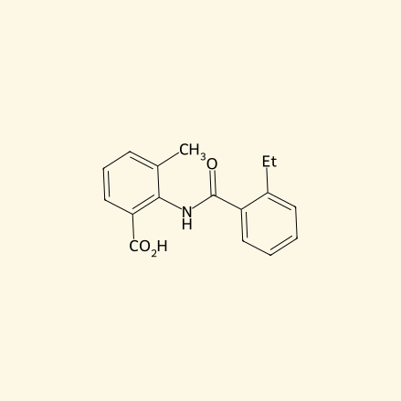 CCc1ccccc1C(=O)Nc1c(C)cccc1C(=O)O